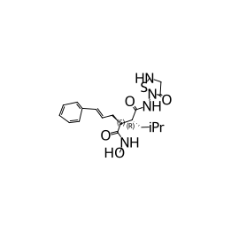 CC(C)C[C@@H](C(=O)NN1SNCC1=O)[C@H](CC=Cc1ccccc1)C(=O)NO